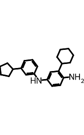 Nc1ccc(Nc2cccc(C3CCCC3)c2)cc1C1CCCCC1